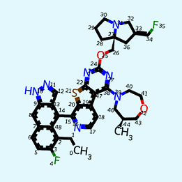 CCc1c(F)ccc2cc3[nH]ncc3c(-c3nccc4c3sc3nc(OC[C@@]56CCCN5C/C(=C\F)C6)nc(N5CCOC[C@@H](C)C5)c34)c12